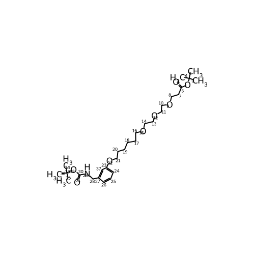 CC(C)(C)OC(=O)CCOCCOCCOCCCCCCOc1cccc(CNC(=O)OC(C)(C)C)c1